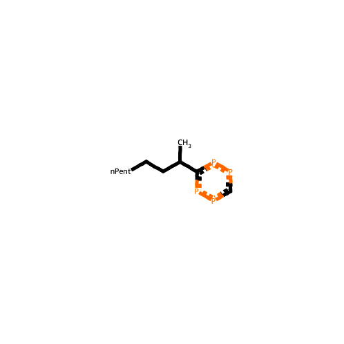 CCCCCCCC(C)c1ppcpp1